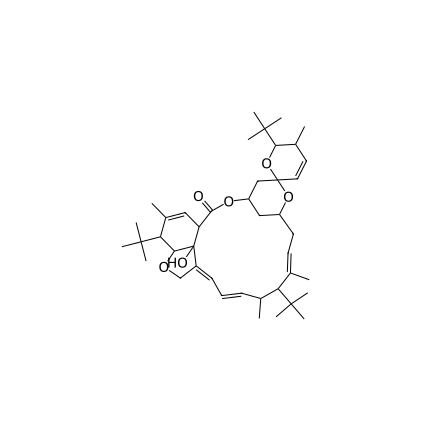 CC1=CC2C(=O)OC3CC(C/C=C(\C)C(C(C)(C)C)C(C)/C=C/C=C4\COC(C1C(C)(C)C)C42O)OC1(C=CC(C)C(C(C)(C)C)O1)C3